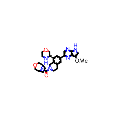 COc1c[nH]c2ncc(-c3cc4c(c([C@@H]5COCCN5)c3)CN(C(=O)N3C5CCC3COC5)CC4)nc12